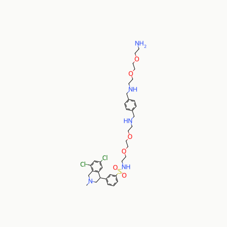 CN1Cc2c(Cl)cc(Cl)cc2C(c2cccc(S(=O)(=O)NCCOCCOCCNCc3ccc(CNCCOCCOCCN)cc3)c2)C1